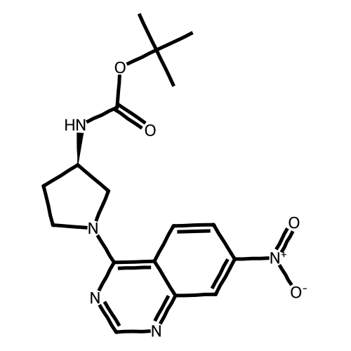 CC(C)(C)OC(=O)N[C@@H]1CCN(c2ncnc3cc([N+](=O)[O-])ccc23)C1